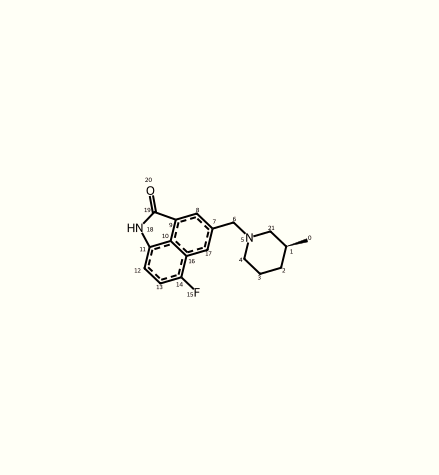 C[C@H]1CCCN(Cc2cc3c4c(ccc(F)c4c2)NC3=O)C1